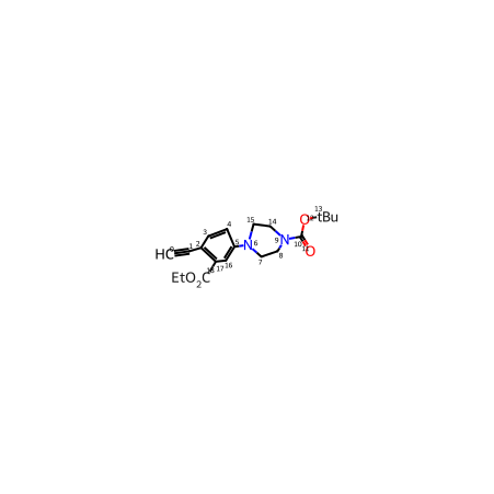 C#Cc1ccc(N2CCN(C(=O)OC(C)(C)C)CC2)cc1C(=O)OCC